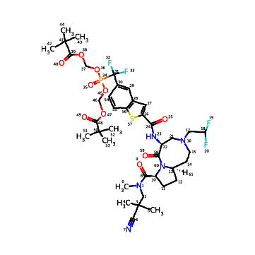 CN(CC(C)(C)C#N)C(=O)[C@@H]1CC[C@@H]2CCN(CC(F)F)C[C@H](NC(=O)c3cc4cc(C(F)(F)P(=O)(OCOC(=O)C(C)(C)C)OCOC(=O)C(C)(C)C)ccc4s3)C(=O)N21